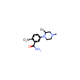 CCC1CN(C)CCN1c1ccc([N+](=O)[O-])c(C(N)=O)c1